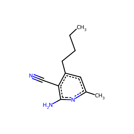 CCCCc1cc(C)nc(N)c1C#N